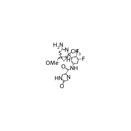 COC[C@]12C[C@H]1[C@@](C)(c1cc(NC(=O)c3c[nH]c(=O)cn3)cc(F)c1F)N=C(N)S2